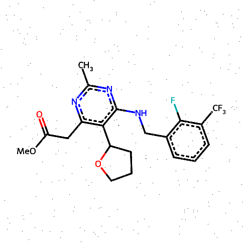 COC(=O)Cc1nc(C)nc(NCc2cccc(C(F)(F)F)c2F)c1C1CCCO1